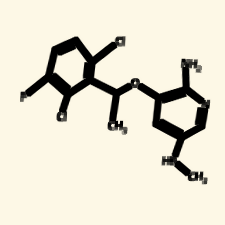 CBc1cnc(N)c(OC(C)c2c(Cl)ccc(F)c2Cl)c1